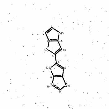 c1cc2sc(-c3cc4scnc4s3)cc2s1